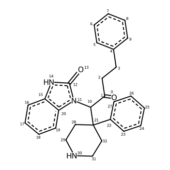 O=C(CCc1ccccc1)C(n1c(=O)[nH]c2ccccc21)C1(c2ccccc2)CCNCC1